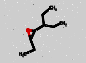 CCC(CC)C1OC1CC